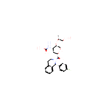 C[C@@H](CO)O[C@H]1CO[C@@H](C(=O)N2CCc3ccccc3[C@@H]2c2ccc(F)cc2)C[C@@H]1NC(=O)O